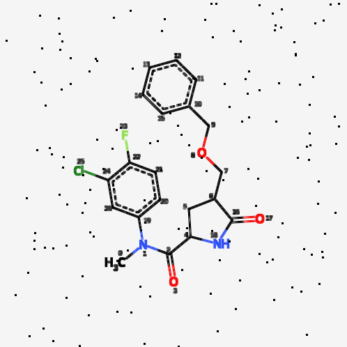 CN(C(=O)C1CC(COCc2ccccc2)C(=O)N1)c1ccc(F)c(Cl)c1